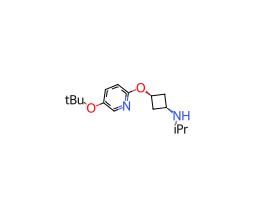 CC(C)N[C@H]1C[C@@H](Oc2ccc(OC(C)(C)C)cn2)C1